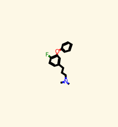 CN(C)CCCc1ccc(F)c(Oc2ccccc2)c1